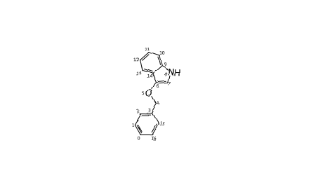 c1ccc(COc2c[nH]c3ccccc23)cc1